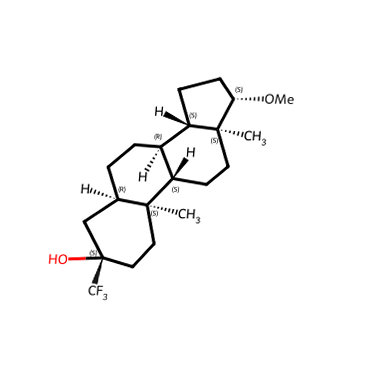 CO[C@H]1CC[C@H]2[C@@H]3CC[C@@H]4C[C@](O)(C(F)(F)F)CC[C@]4(C)[C@H]3CC[C@]12C